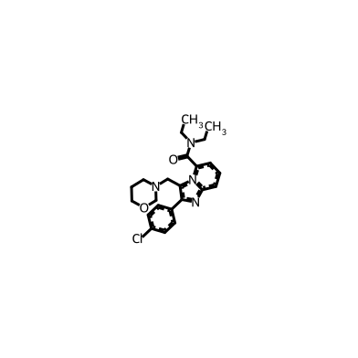 CCN(CC)C(=O)c1cccc2nc(-c3ccc(Cl)cc3)c(CN3CCCOC3)n12